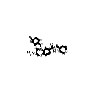 N[C@H]1CSc2ccc(C(=O)NCC3CCOCC3)cc2N(Cc2ccc(F)cc2)C1=O